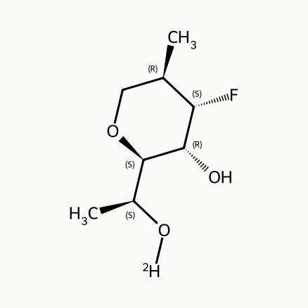 [2H]O[C@@H](C)[C@H]1OC[C@@H](C)[C@H](F)[C@@H]1O